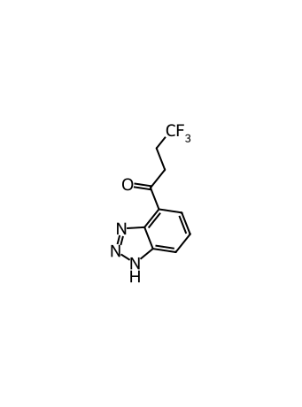 O=C(CCC(F)(F)F)c1cccc2[nH]nnc12